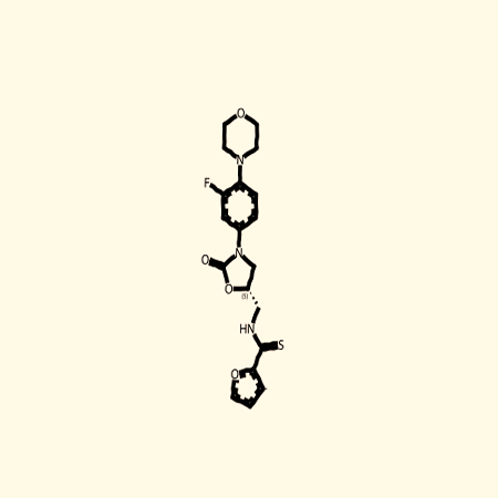 O=C1O[C@@H](CNC(=S)c2[c]cco2)CN1c1ccc(N2CCOCC2)c(F)c1